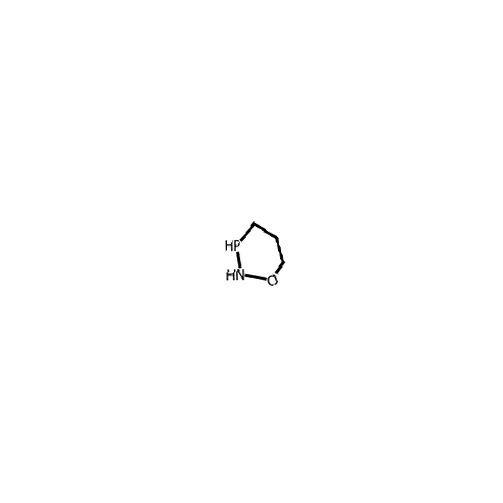 C1CONPC1